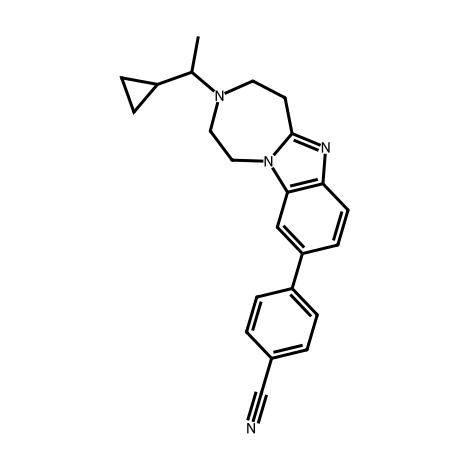 CC(C1CC1)N1CCc2nc3ccc(-c4ccc(C#N)cc4)cc3n2CC1